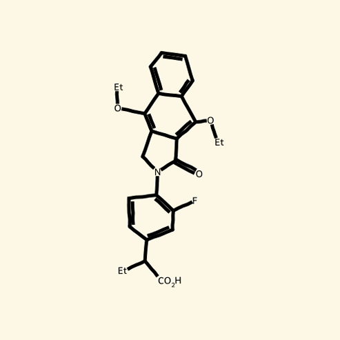 CCOc1c2c(c(OCC)c3ccccc13)C(=O)N(c1ccc(C(CC)C(=O)O)cc1F)C2